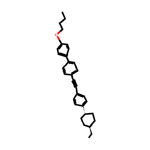 CCCCOc1ccc(-c2ccc(C#Cc3ccc([C@H]4CC[C@H](CC)CC4)cc3)cc2)cc1